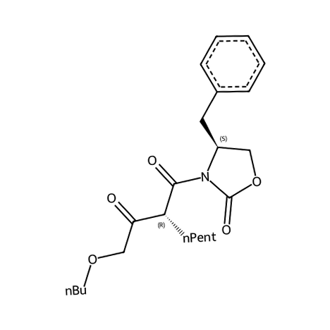 CCCCC[C@H](C(=O)COCCCC)C(=O)N1C(=O)OC[C@@H]1Cc1ccccc1